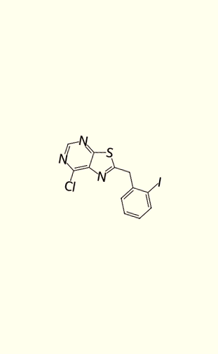 Clc1ncnc2sc(Cc3ccccc3I)nc12